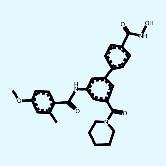 COc1ccc(C(=O)Nc2cc(C(=O)N3CCCCC3)cc(-c3ccc(C(=O)NO)cc3)c2)c(C)c1